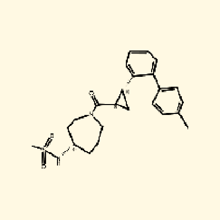 Cc1ccc(-c2ccccc2[C@@H]2C[C@H]2C(=O)N2CCC[C@H](NS(C)(=O)=O)CC2)cc1